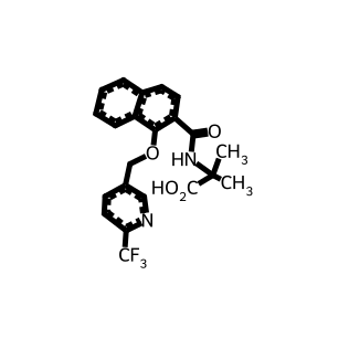 CC(C)(NC(=O)c1ccc2ccccc2c1OCc1ccc(C(F)(F)F)nc1)C(=O)O